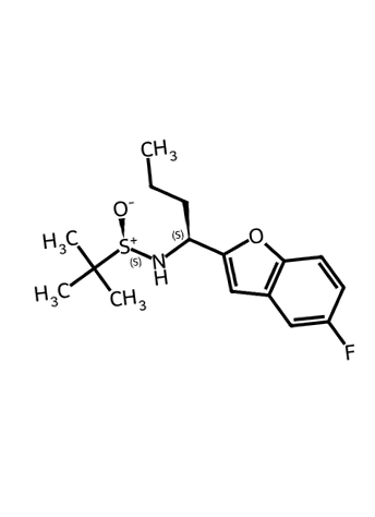 CCC[C@H](N[S@+]([O-])C(C)(C)C)c1cc2cc(F)ccc2o1